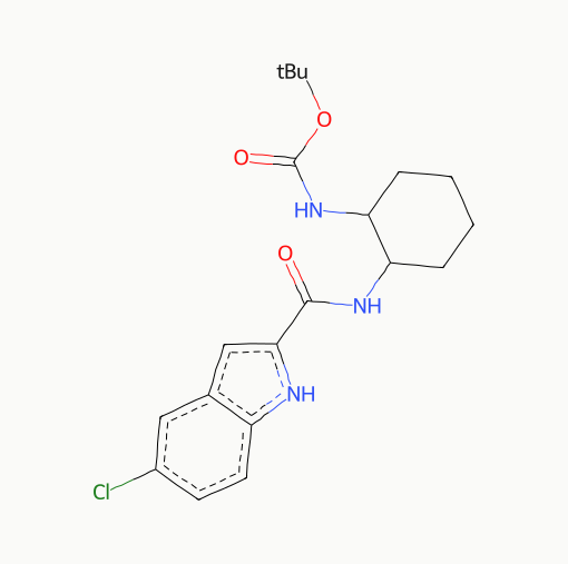 CC(C)(C)OC(=O)NC1CCCCC1NC(=O)c1cc2cc(Cl)ccc2[nH]1